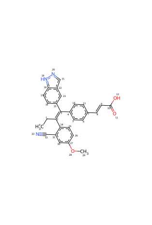 CC/C(=C(/c1ccc(/C=C/C(=O)O)cc1)c1ccc2[nH]ncc2c1)c1ccc(OC)cc1C#N